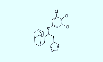 Clc1cc(SC(Cn2ccnc2)C23CC4CC(CC(C4)C2)C3)cc(Cl)c1Cl